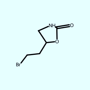 O=C1NCC(CCBr)O1